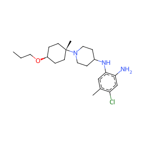 CCCO[C@H]1CC[C@](C)(N2CCC(Nc3cc(C)c(Cl)cc3N)CC2)CC1